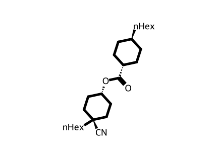 CCCCCC[C@H]1CC[C@H](C(=O)O[C@H]2CC[C@@](C#N)(CCCCCC)CC2)CC1